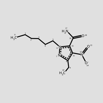 CCCCCCn1nc(CC)c([N+](=O)[O-])c1C(N)=O